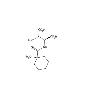 CC(C(=O)O)[C@H](NC(=O)C1(C)CCCCC1)C(=O)O